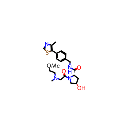 COCCN(C)CC(=O)N1C[C@H](O)C[C@H]1C(=O)NCc1ccc(-c2scnc2C)cc1